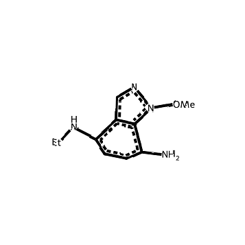 CCNc1ccc(N)c2c1cnn2OC